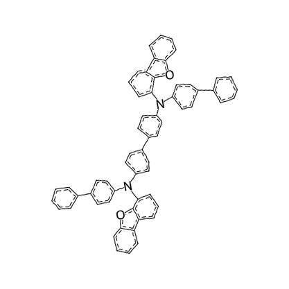 c1ccc(-c2ccc(N(c3ccc(-c4ccc(N(c5ccc(-c6ccccc6)cc5)c5cccc6c5oc5ccccc56)cc4)cc3)c3cccc4c3oc3ccccc34)cc2)cc1